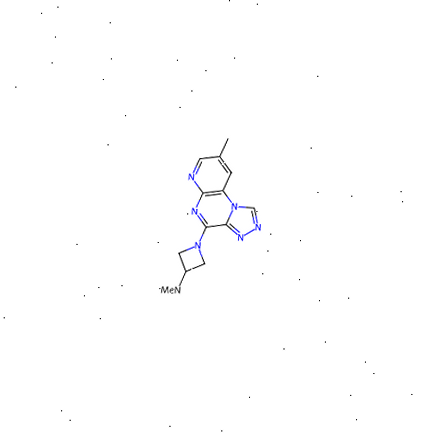 CNC1CN(c2nc3ncc(C)cc3n3cnnc23)C1